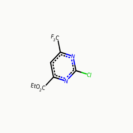 CCOC(=O)c1cc(C(F)(F)F)nc(Cl)n1